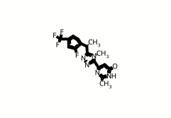 Cc1nc(-c2nnc([C@@H](C)c3ccc(C(F)(F)F)cc3F)n2C)cc(=O)[nH]1